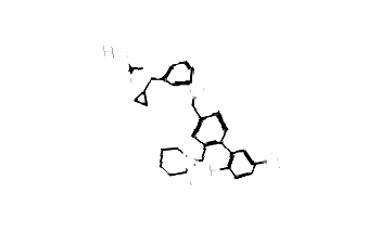 COc1ccc(F)c(-c2ccc(COc3cccc([C@@H](CC(=O)O)C4CC4)c3)cc2CN2[C@@H](C)CCC[C@@H]2C)c1